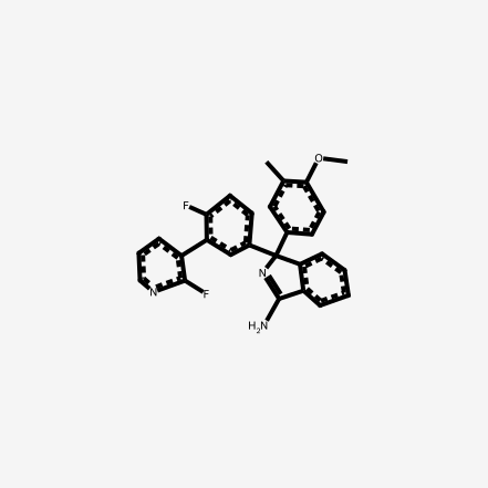 COc1ccc(C2(c3ccc(F)c(-c4cccnc4F)c3)N=C(N)c3ccccc32)cc1C